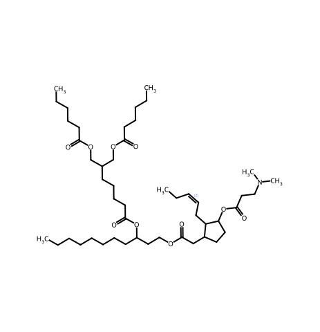 CC/C=C\CC1C(CC(=O)OCCC(CCCCCCCC)OC(=O)CCCCC(COC(=O)CCCCC)COC(=O)CCCCC)CCC1OC(=O)CCN(C)C